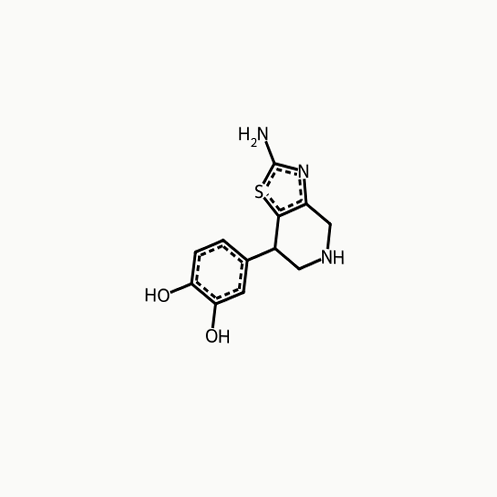 Nc1nc2c(s1)C(c1ccc(O)c(O)c1)CNC2